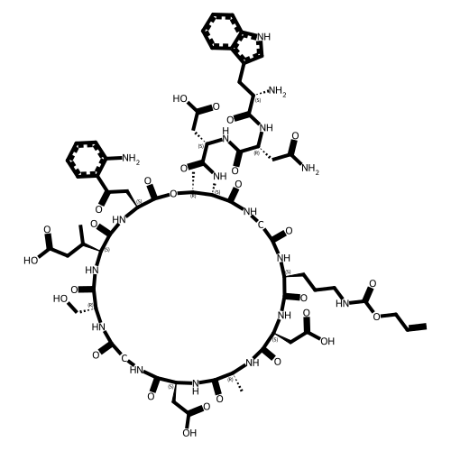 C=CCOC(=O)NCCC[C@@H]1NC(=O)CNC(=O)[C@@H](NC(=O)[C@H](CC(=O)O)NC(=O)[C@@H](CC(N)=O)NC(=O)[C@@H](N)Cc2c[nH]c3ccccc23)[C@@H](C)OC(=O)[C@H](CC(=O)c2ccccc2N)NC(=O)[C@H](C(C)CC(=O)O)NC(=O)[C@@H](CO)NC(=O)CNC(=O)[C@H](CC(=O)O)NC(=O)[C@@H](C)NC(=O)[C@H](CC(=O)O)NC1=O